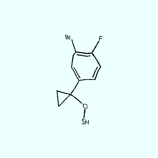 Fc1ccc(C2(OS)CC2)cc1Br